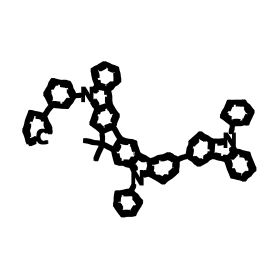 CC1(C)c2cc3c(cc2-c2cc4c5cc(-c6ccc7c(c6)c6ccccc6n7-c6ccccc6)ccc5n(-c5ccccc5)c4cc21)c1ccccc1n3-c1cccc(-c2ccccc2)c1